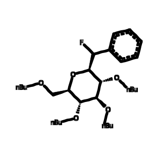 CCCCOC[C@H]1O[C@@H](C(F)c2ccccc2)[C@H](OCCCC)[C@@H](OCCCC)[C@@H]1OCCCC